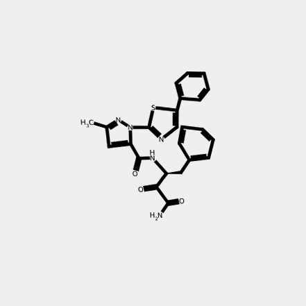 Cc1cc(C(=O)N[C@@H](Cc2ccccc2)C(=O)C(N)=O)n(-c2ncc(-c3ccccc3)s2)n1